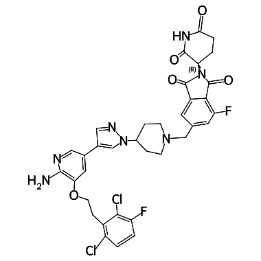 Nc1ncc(-c2cnn(C3CCN(Cc4cc(F)c5c(c4)C(=O)N([C@@H]4CCC(=O)NC4=O)C5=O)CC3)c2)cc1OCCc1c(Cl)ccc(F)c1Cl